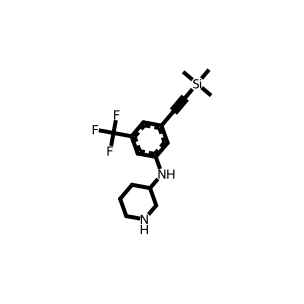 C[Si](C)(C)C#Cc1cc(NC2CCCNC2)cc(C(F)(F)F)c1